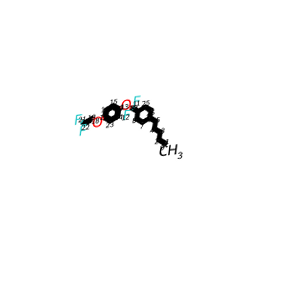 CCCCCCC1CCC(C(F)(F)Oc2ccc(OC=C(F)F)cc2)CC1